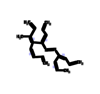 C=C\C=C/C(=C(\C)C=C)/C(=C\C=C)N=NC(/C=C\C)=C/C=C